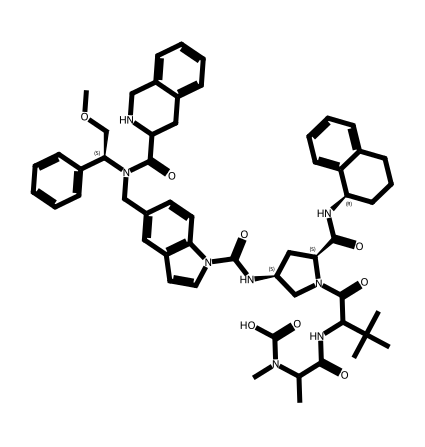 COC[C@H](c1ccccc1)N(Cc1ccc2c(ccn2C(=O)N[C@H]2C[C@@H](C(=O)N[C@@H]3CCCc4ccccc43)N(C(=O)C(NC(=O)C(C)N(C)C(=O)O)C(C)(C)C)C2)c1)C(=O)C1Cc2ccccc2CN1